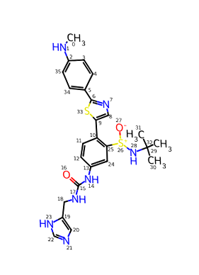 CNc1ccc(-c2ncc(-c3ccc(NC(=O)NCc4cnc[nH]4)cc3[S+]([O-])NC(C)(C)C)s2)cc1